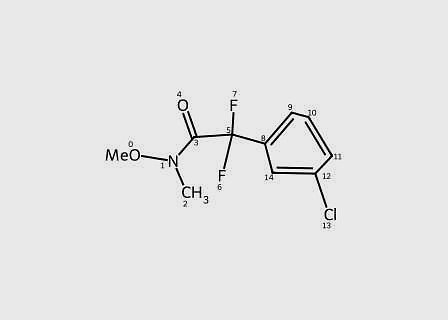 CON(C)C(=O)C(F)(F)c1cccc(Cl)c1